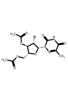 CC(=O)OC[C@H]1O[C@@H](n2nc(C)c(=O)[nH]c2=O)[C@@H](Br)[C@@H]1OC(C)=O